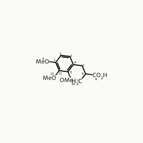 COc1ccc(CC(C)C(=O)O)c(OC)c1OC